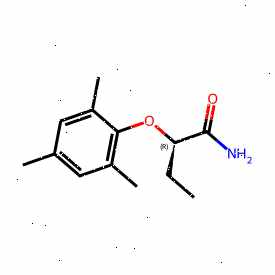 CC[C@@H](Oc1c(C)cc(C)cc1C)C(N)=O